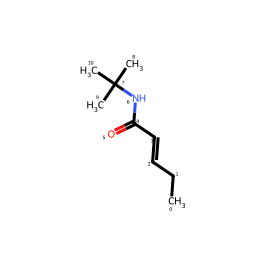 CC/C=C/C(=O)NC(C)(C)C